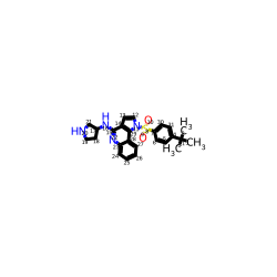 CC(C)(C)c1ccc(S(=O)(=O)n2ccc3c(NC4CCNC4)nc4ccccc4c32)cc1